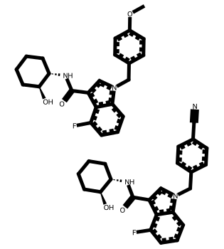 COc1ccc(Cn2cc(C(=O)N[C@H]3CCCC[C@@H]3O)c3c(F)cccc32)cc1.N#Cc1ccc(Cn2cc(C(=O)N[C@H]3CCCC[C@@H]3O)c3c(F)cccc32)cc1